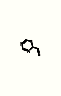 S=CC1N=CN=CS1